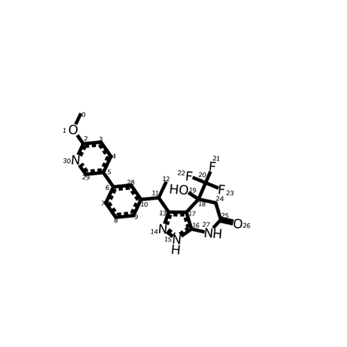 COc1ccc(-c2cccc(C(C)c3n[nH]c4c3C(O)(C(F)(F)F)CC(=O)N4)c2)cn1